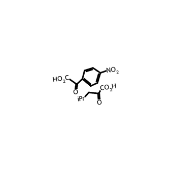 CC(C)CC(=O)C(=O)O.O=C(O)C(=O)c1ccc([N+](=O)[O-])cc1